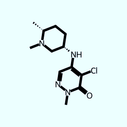 C[C@@H]1CC[C@H](Nc2cnn(C)c(=O)c2Cl)CN1C